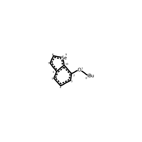 CCC(C)Oc1cccc2cc[se]c12